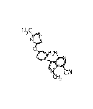 Cc1cccc(Oc2ccc(-c3cn(C)c4c(C#N)cnc(N)c34)cc2)n1